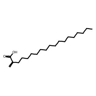 C=C(CCCCCCCCCCCCCCCCC)C(=O)O